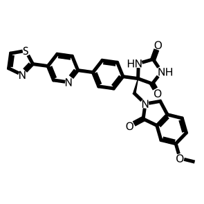 COc1ccc2c(c1)C(=O)N(C[C@@]1(c3ccc(-c4ccc(-c5nccs5)cn4)cc3)NC(=O)NC1=O)C2